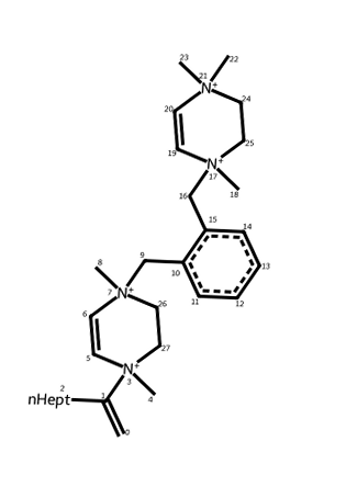 C=C(CCCCCCC)[N+]1(C)C=C[N+](C)(Cc2ccccc2C[N+]2(C)C=C[N+](C)(C)CC2)CC1